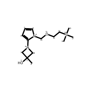 CC1(O)CN(c2cccn2COCC[Si](C)(C)C)C1